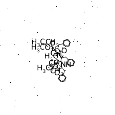 CN(C(=O)OC(C)(C)C)[C@@H](Cc1ccccc1)C(=O)N(C)[C@@H](Cc1ccccc1)C(=O)N[C@@H](Cc1ccccc1)C(=O)O[Si](C)(C)C